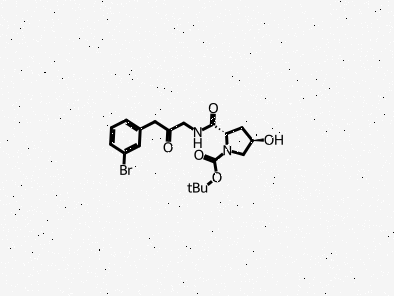 CC(C)(C)OC(=O)N1C[C@H](O)C[C@H]1C(=O)NCC(=O)Cc1cccc(Br)c1